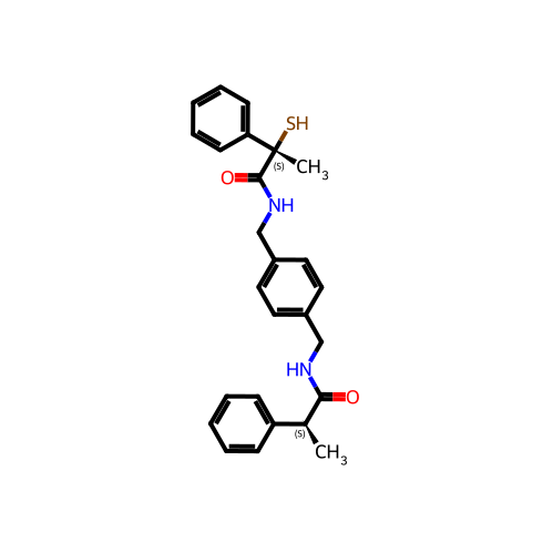 C[C@H](C(=O)NCc1ccc(CNC(=O)[C@@](C)(S)c2ccccc2)cc1)c1ccccc1